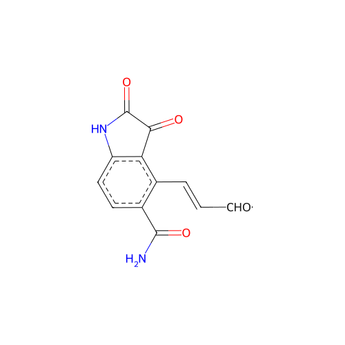 NC(=O)c1ccc2c(c1/C=C/[C]=O)C(=O)C(=O)N2